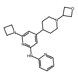 c1ccc(Nc2cc(C3CCN(C4COC4)CC3)cc(N3CCC3)n2)nc1